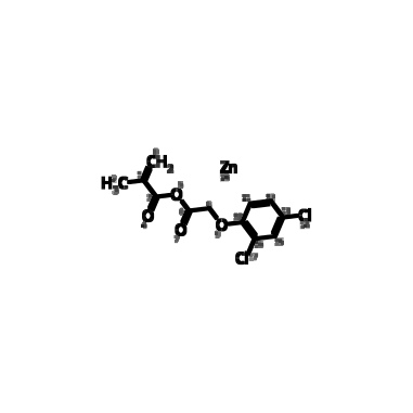 C=C(C)C(=O)OC(=O)COc1ccc(Cl)cc1Cl.[Zn]